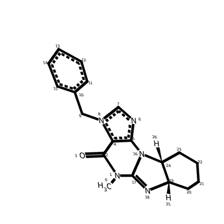 CN1C(=O)c2c(ncn2Cc2ccccc2)N2C1=N[C@H]1CCCC[C@H]12